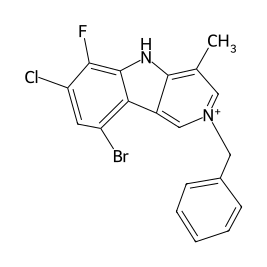 Cc1c[n+](Cc2ccccc2)cc2c1[nH]c1c(F)c(Cl)cc(Br)c12